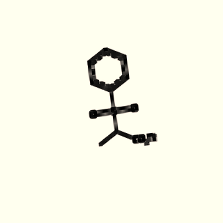 CCOC(=O)C(C)S(=O)(=O)c1ccccc1